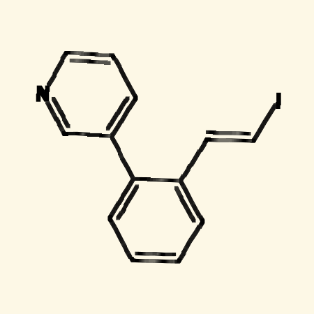 IC=Cc1ccccc1-c1cccnc1